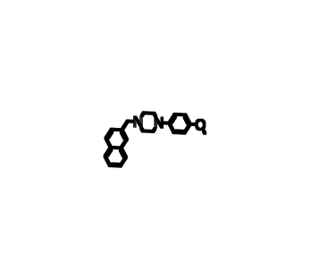 COc1ccc(N2CCN(Cc3ccc4ccccc4c3)CC2)cc1